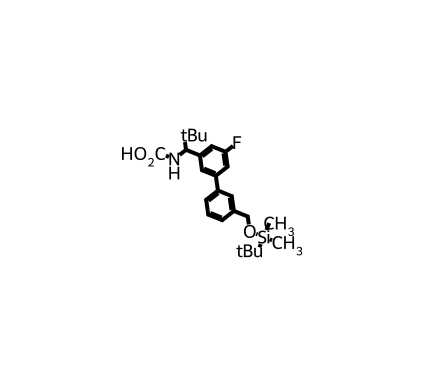 CC(C)(C)C(NC(=O)O)c1cc(F)cc(-c2cccc(CO[Si](C)(C)C(C)(C)C)c2)c1